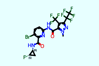 Cn1nc(C(F)(F)C(F)(F)F)c(C(F)(F)F)c1C(=O)Nc1ccc(Br)c(C(=O)N[C@@H]2C[C@@H]2F)n1